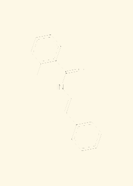 O=C(NC=Cc1ccccc1)c1ccccc1I